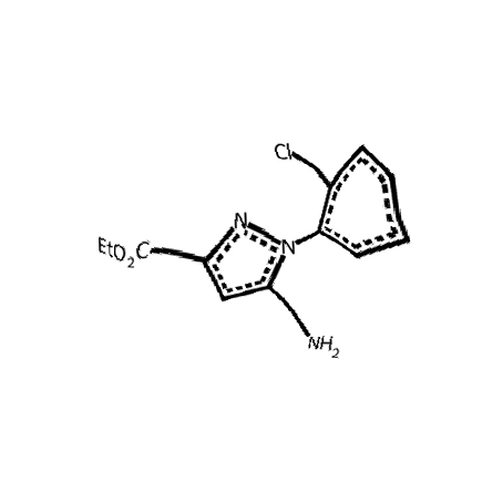 CCOC(=O)c1cc(N)n(-c2ccccc2Cl)n1